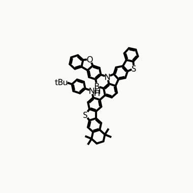 CC(C)(C)c1ccc(Nc2cc3sc4cc5c(cc4c3cc2-c2ccc3c4cc6sc7ccccc7c6cc4n4c3c2Bc2cc3c(cc2-4)oc2ccccc23)C(C)(C)CCC5(C)C)cc1